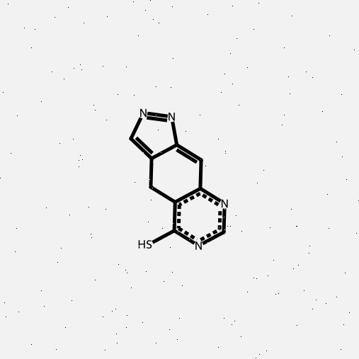 Sc1ncnc2c1CC1=CN=NC1=C2